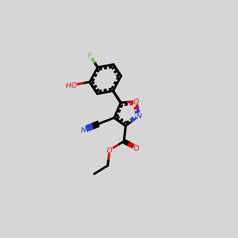 CCOC(=O)c1noc(-c2ccc(F)c(O)c2)c1C#N